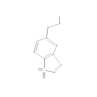 O=S1(=O)C=Cc2cc(CCO)ccc21